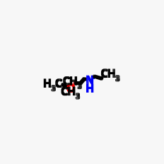 CCCNCCCOC(C)(C)C